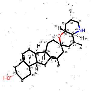 CC1=C2C[C@H]3[C@@H](CC=C4C[C@@H](O)CC[C@@]43C)[C@@H]2CC[C@]2(C1)C[C@H](C)[C@@H]1NC[C@@H](C)C[C@H]1O2